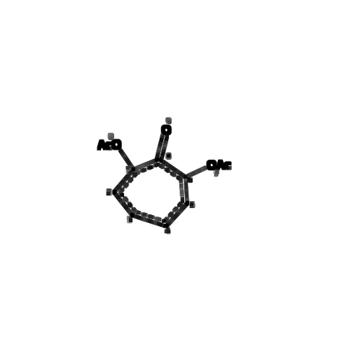 CC(=O)Oc1ccccc(OC(C)=O)c1=O